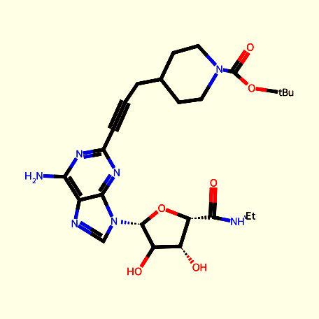 CCNC(=O)[C@H]1O[C@@H](n2cnc3c(N)nc(C#CCC4CCN(C(=O)OC(C)(C)C)CC4)nc32)C(O)[C@H]1O